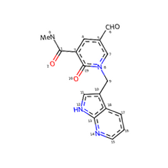 CNC(=O)c1cc(C=O)cn(Cc2c[nH]c3ncccc23)c1=O